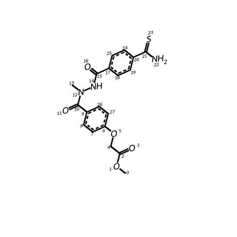 COC(=O)COc1ccc(C(=O)N(C)NC(=O)c2ccc(C(N)=S)cc2)cc1